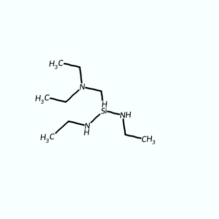 CCN[SiH](CN(CC)CC)NCC